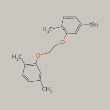 Cc1ccc(C)c(OCCOc2cc(C(C)(C)C)ccc2C)c1